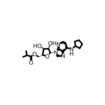 CC(C)C(=O)OC[C@H]1O[C@@H](n2cnc3c(NC4CCCC4)ccnc32)[C@H](O)[C@@H]1O